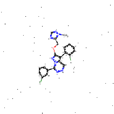 Cn1ncnc1COc1nn2c(-c3cccc(F)c3)nncc2c1-c1ccccc1F